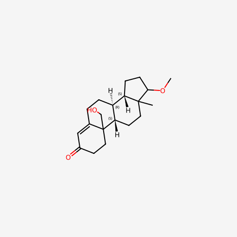 COC1CC[C@H]2[C@@H]3CCC4=CC(=O)CCC4(CO)[C@H]3CCC12C